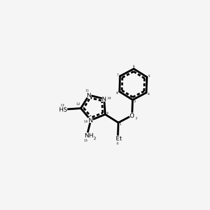 CCC(Oc1ccccc1)c1nnc(S)n1N